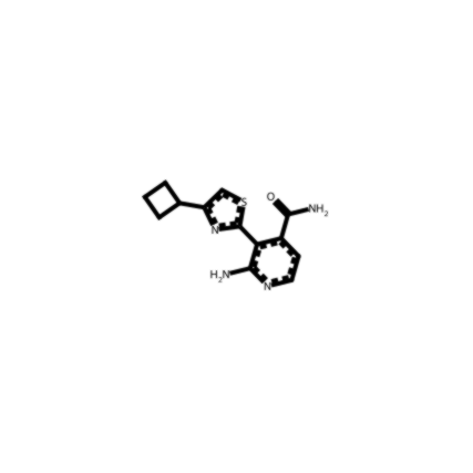 NC(=O)c1ccnc(N)c1-c1nc(C2CCC2)cs1